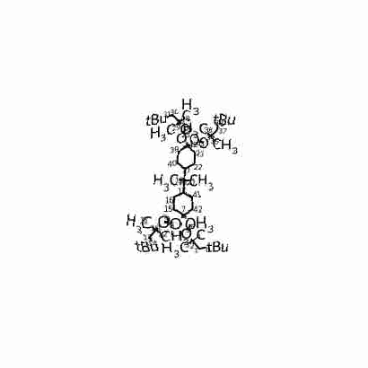 CC(C)(C)CC(C)(C)OOC1(OOC(C)(C)CC(C)(C)C)CCC(C(C)(C)C2CCC(OOC(C)(C)CC(C)(C)C)(OOC(C)(C)CC(C)(C)C)CC2)CC1